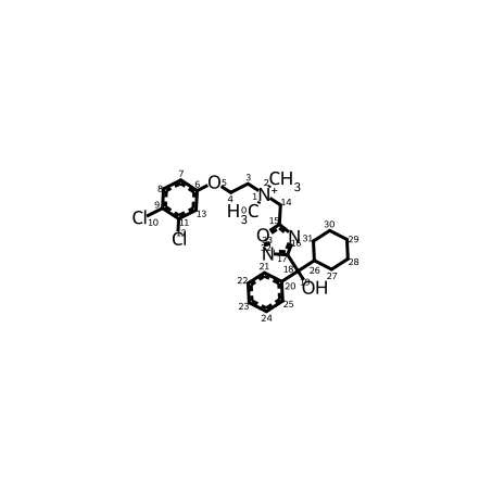 C[N+](C)(CCOc1ccc(Cl)c(Cl)c1)Cc1nc(C(O)(c2ccccc2)C2CCCCC2)no1